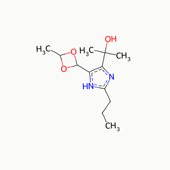 CCCc1nc(C(C)(C)O)c(C2OC(C)O2)[nH]1